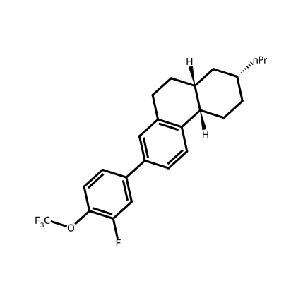 CCC[C@@H]1CC[C@@H]2c3ccc(-c4ccc(OC(F)(F)F)c(F)c4)cc3CC[C@@H]2C1